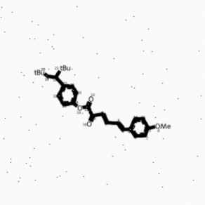 COc1ccc(/C=C/C=C/C(=O)C(=O)Oc2ccc(C(CC(C)(C)C)C(C)(C)C)cc2)cc1